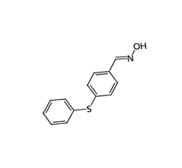 ON=Cc1ccc(Sc2ccccc2)cc1